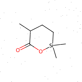 CC1CC[Si](C)(C)OC1=O